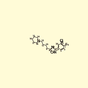 Fc1ccc(-c2noc(CCCCN3CCCCC3)n2)cc1Cl